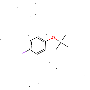 C[Si](C)(C)Oc1ccc(I)cc1